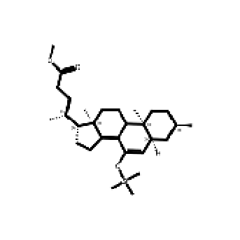 COC(=O)CC[C@@H](C)[C@H]1CCC2C3C(O[Si](C)(C)C)=C[C@@H]4C[C@H](C)CC[C@]4(C)C3CC[C@@]21C